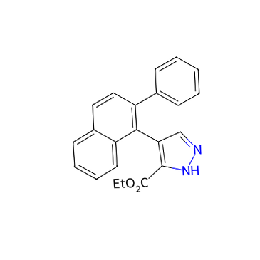 CCOC(=O)c1[nH]ncc1-c1c(-c2ccccc2)ccc2ccccc12